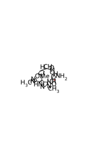 COc1nn(C)cc1-c1[nH]c2ncc3c4c2c1-c1ccc(cc1)[C@H](C)CC(=O)O[C@@H]1C[C@H](C[C@@H]1N)n4c(=O)n3C